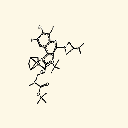 CN(CCc1nc2c(N3CC(N(C)C)C3)nc3c(F)c(Br)c(I)cc3c2n1C1C2CC1N(C(=O)OC(C)(C)C)C2)C(=O)OC(C)(C)C